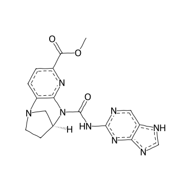 COC(=O)c1ccc2c(n1)N(C(=O)Nc1ncc3[nH]cnc3n1)[C@H]1CCN2C1